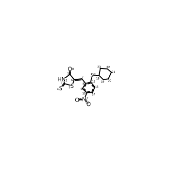 O=C1NC(=S)S/C1=C\c1cc([N+](=O)[O-])ccc1SC1CCCCC1